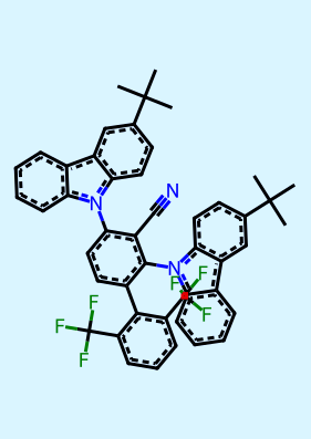 CC(C)(C)c1ccc2c(c1)c1ccccc1n2-c1ccc(-c2c(C(F)(F)F)cccc2C(F)(F)F)c(-n2c3ccccc3c3cc(C(C)(C)C)ccc32)c1C#N